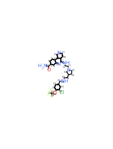 NC(=O)c1ccc2c(c1)nc(NCCN1CCC(CCNCc3ccc(OC(F)(F)F)c(Cl)c3)C1)c1ccncc12